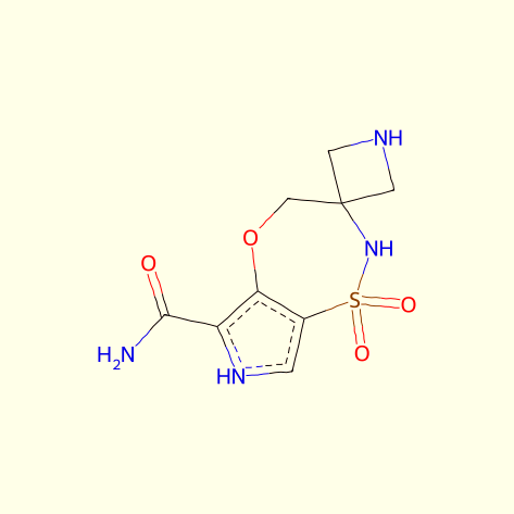 NC(=O)c1[nH]cc2c1OCC1(CNC1)NS2(=O)=O